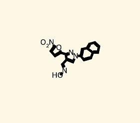 O=[N+]([O-])c1ccc(-c2nn(-c3ccc4ccccc4c3)cc2C=NO)o1